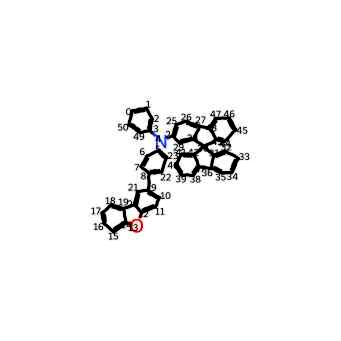 c1ccc(N(c2ccc(-c3ccc4oc5ccccc5c4c3)cc2)c2ccc3c(c2)C2(c4ccccc4-c4ccccc42)c2ccccc2-3)cc1